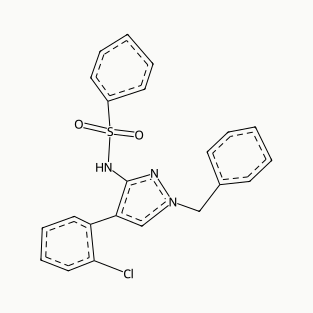 O=S(=O)(Nc1nn(Cc2ccccc2)cc1-c1ccccc1Cl)c1ccccc1